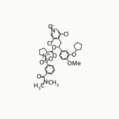 COc1ccc(C(Cc2c(Cl)c[n+]([O-])cc2Cl)OC(=O)[C@@H]2CCCN2S(=O)(=O)c2cccc(C(=O)N(C)C)c2)cc1OC1CCCC1